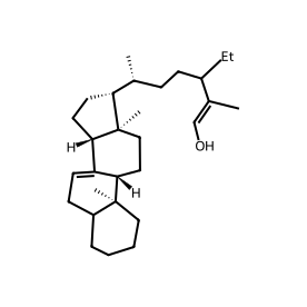 CCC(CC[C@@H](C)[C@H]1CC[C@H]2C3=CCC4CCCC[C@]4(C)[C@H]3CC[C@]12C)C(C)=CO